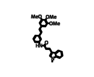 COc1cc(/C=C/c2cccc(NC(=O)/C=C/c3cn(C)c4ccccc34)c2)cc(OC)c1OC